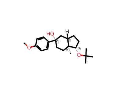 COc1ccc([C@]2(O)CC[C@@]3(C)[C@@H](CC[C@@H]3OC(C)(C)C)C2)cc1